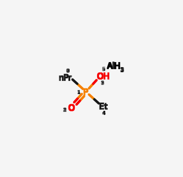 CCCP(=O)(O)CC.[AlH3]